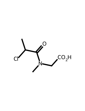 CC(Cl)C(=O)N(C)CC(=O)O